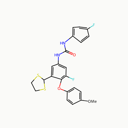 COc1ccc(Oc2c(F)cc(NC(=O)Nc3ccc(F)cc3)cc2C2SCCS2)cc1